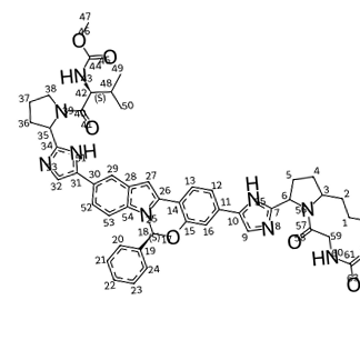 CCCC1CCC(c2ncc(-c3ccc4c(c3)O[C@@H](c3ccccc3)n3c-4cc4cc(-c5cnc(C6CCCN6C(=O)[C@@H](NC(=O)OC)C(C)C)[nH]5)ccc43)[nH]2)N1C(=O)CNC(=O)OC